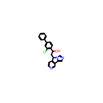 OC(CC1c2ccncc2-c2cncn21)c1ccc(-c2ccccc2)cc1Cl